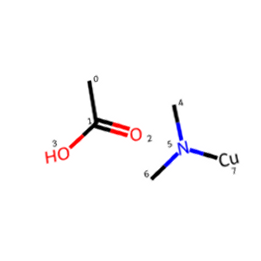 CC(=O)O.C[N](C)[Cu]